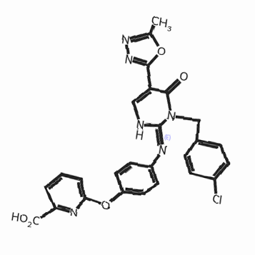 Cc1nnc(-c2c[nH]/c(=N\c3ccc(Oc4cccc(C(=O)O)n4)cc3)n(Cc3ccc(Cl)cc3)c2=O)o1